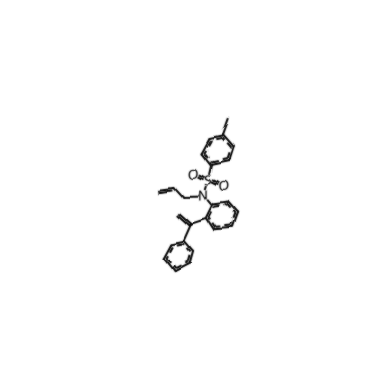 C=CCN(c1ccccc1C(=C)c1ccccc1)S(=O)(=O)c1ccc(C)cc1